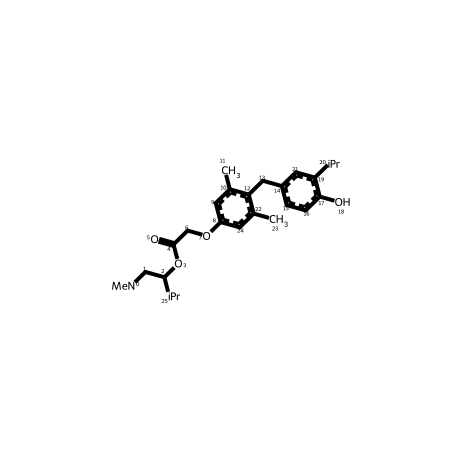 CNCC(OC(=O)COc1cc(C)c(Cc2ccc(O)c(C(C)C)c2)c(C)c1)C(C)C